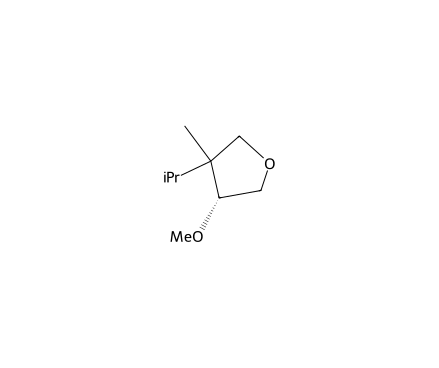 CO[C@H]1COCC1(C)C(C)C